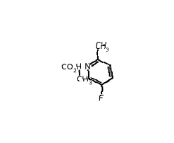 CC(=O)O.Cc1ccc(F)cn1